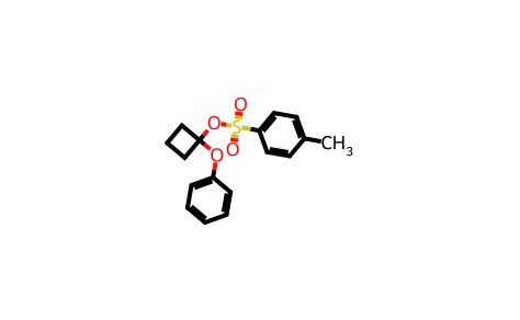 Cc1ccc(S(=O)(=O)OC2(Oc3ccccc3)CCC2)cc1